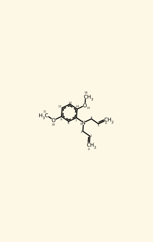 C=CCN(CC=C)c1cc(OC)ccc1OC